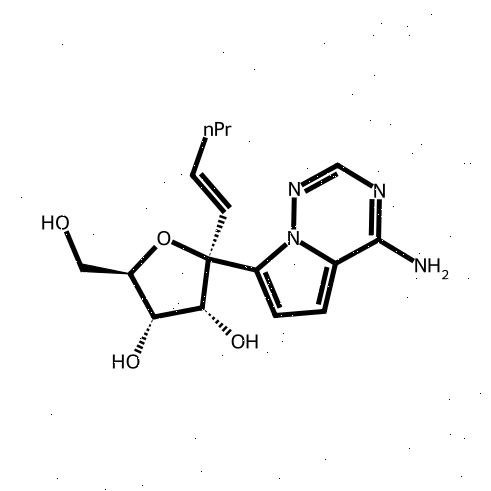 CCCC=C[C@@]1(c2ccc3c(N)ncnn23)O[C@H](CO)[C@@H](O)[C@H]1O